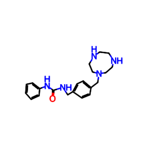 O=C(NCc1ccc(CN2CCNCCNCC2)cc1)Nc1ccccc1